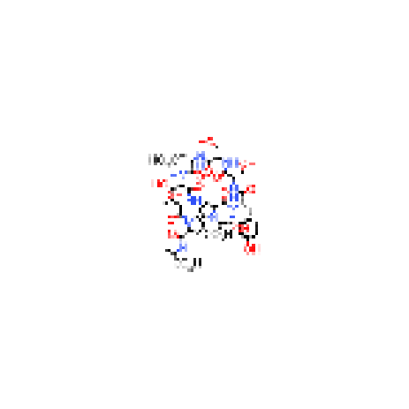 C[C@H](NC(=O)[C@@H]1CCCN1C(=O)[C@@H](NC(=O)[C@@H](NC(=O)[C@H](CC(=O)O)NC(=O)[C@H](CO)NC(=O)[C@H](CO)NC(=O)[C@H](Cc1ccc(O)cc1)NC(=O)[C@@H]1CCCN1[C@@H](CO)C(=O)O)[C@@H](C)O)[C@@H](C)O)C(=O)O